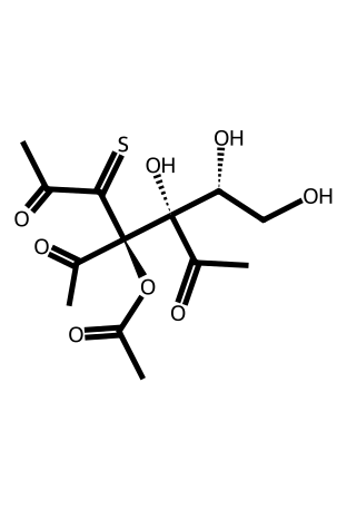 CC(=O)O[C@@](C(C)=O)(C(=S)C(C)=O)[C@](O)(C(C)=O)[C@H](O)CO